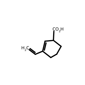 C=CC1=CC(C(=O)O)CCC1